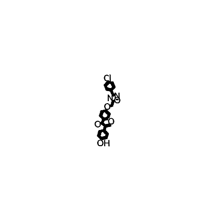 O=c1c(-c2ccc(O)cc2)coc2cc(OCc3nc(-c4ccc(Cl)cc4)no3)ccc12